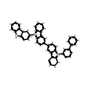 C1=Cc2c(n(-c3cccc(-c4ccccc4)c3)c3ccc(-c4ccc5c(c4)c4ccccc4n5C4=CC=C5Oc6ccccc6C5C4)cc23)CC1